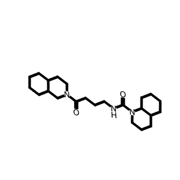 O=C(CCCNC(=O)N1CCCC2CCCCC21)N1CCC2CCCCC2C1